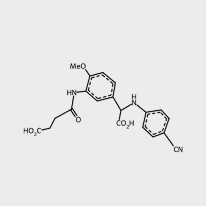 COc1ccc(C(Nc2ccc(C#N)cc2)C(=O)O)cc1NC(=O)CCC(=O)O